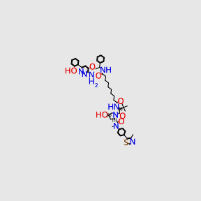 Cc1ncsc1-c1ccc(N(C)C(=O)[C@@H]2C[C@@H](O)CN2C(=O)[C@@H](NC(=O)CCCCCCCCC(=O)NC(COc2cc(-c3ccccc3O)nnc2N)c2ccccc2)C(C)(C)C)cc1